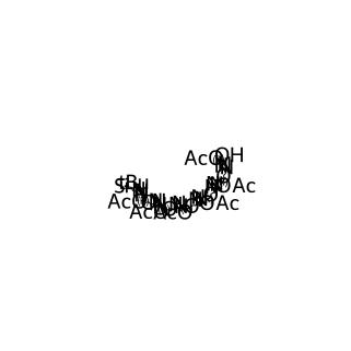 CC(=O)O[C@@H](CO)Cn1cc(COC[C@@H](Cn2cc(COC[C@@H](Cn3cc(COC[C@@H](Cn4cc(COC[C@@H](Cn5cc(COC[C@@H](Cn6cc(CCC#C[Si](C)(C)C(C)(C)C)nn6)OC(C)=O)nn5)OC(C)=O)nn4)OC(C)=O)nn3)OC(C)=O)nn2)OC(C)=O)nn1